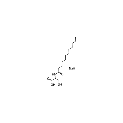 CCCCCCCCCCCC(=O)NC(CS)C(=O)O.[NaH]